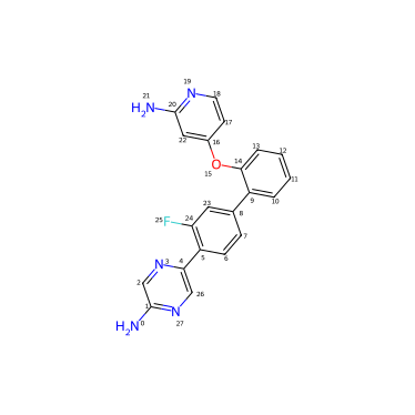 Nc1cnc(-c2ccc(-c3ccccc3Oc3ccnc(N)c3)cc2F)cn1